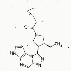 CC[C@@H]1CN(C(=O)CC2CC2)C[C@@H]1c1nnc2cnc3[nH]ccc3n12